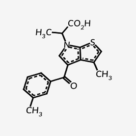 Cc1cccc(C(=O)c2cn(C(C)C(=O)O)c3scc(C)c23)c1